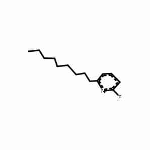 CCCCCCCCCc1cccc(F)n1